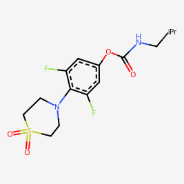 CC(C)CNC(=O)Oc1cc(F)c(N2CCS(=O)(=O)CC2)c(F)c1